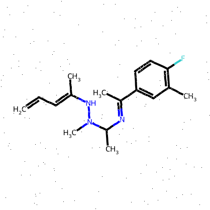 C=C/C=C(\C)NN(C)C(C)N=C(C)c1ccc(F)c(C)c1